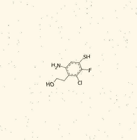 Nc1cc(S)c(F)c(Cl)c1CCO